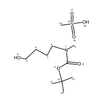 CN(CCCCO)C(=O)OC(C)(C)C.CS(=O)(=O)O